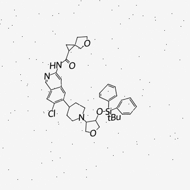 CC(C)(C)[Si](OC1COCC1N1CCC(c2cc3cc(NC(=O)C4CC45CCOC5)ncc3cc2Cl)CC1)(c1ccccc1)c1ccccc1